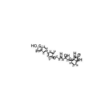 Cc1cc(-c2ccc(C(=O)O)c(C(C)C)c2)cc(C)c1OCCNCC(O)COc1cccc2[nH]c(=O)[nH]c12